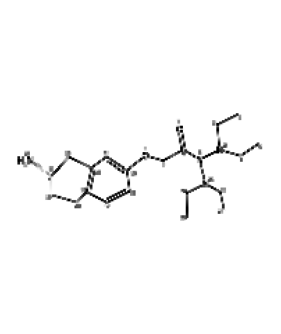 CCN(CC)N(C(=O)COc1ccc2c(c1)C[C@@H](N)CC2)N(CC)CC